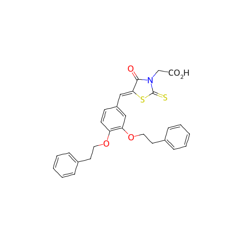 O=C(O)CN1C(=O)C(=Cc2ccc(OCCc3ccccc3)c(OCCc3ccccc3)c2)SC1=S